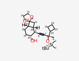 CC(C)(C)[Si](C)(C)O[C@](C)(C#C[C@@H]1[C@H]2CC3(OCCO3)[C@H]2CC[C@H]1O)C1CCC1